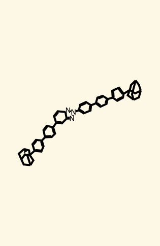 c1cc(-c2ccc(C34CC5CC(CC(C5)C3)C4)cc2)ccc1-c1ccc(-n2nc3ccc(-c4ccc(-c5ccc(C67CC8CC(CC(C8)C6)C7)cc5)cc4)cc3n2)cc1